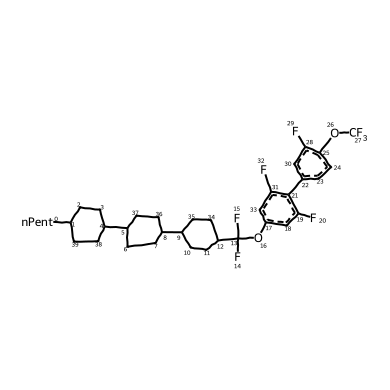 CCCCCC1CCC(C2CCC(C3CCC(C(F)(F)Oc4cc(F)c(-c5ccc(OC(F)(F)F)c(F)c5)c(F)c4)CC3)CC2)CC1